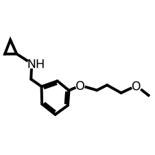 COCCCOc1cccc(CNC2CC2)c1